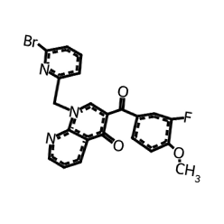 COc1ccc(C(=O)c2cn(Cc3cccc(Br)n3)c3ncccc3c2=O)cc1F